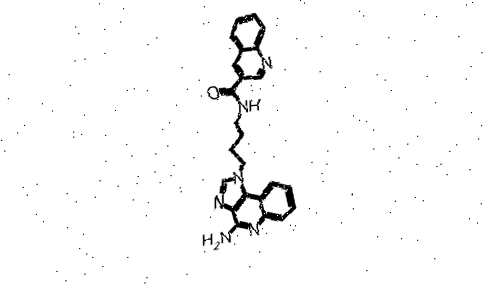 Nc1nc2ccccc2c2c1ncn2CCCCNC(=O)c1cnc2ccccc2c1